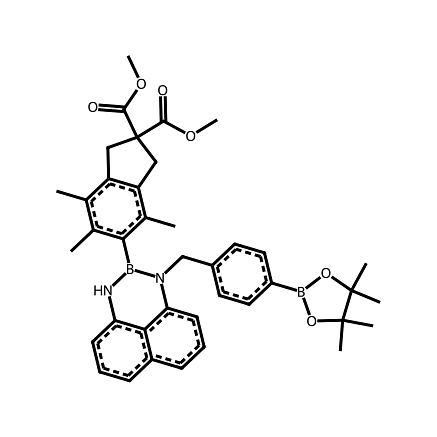 COC(=O)C1(C(=O)OC)Cc2c(C)c(C)c(B3Nc4cccc5cccc(c45)N3Cc3ccc(B4OC(C)(C)C(C)(C)O4)cc3)c(C)c2C1